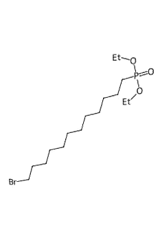 CCOP(=O)(CCCCCCCCCCCCBr)OCC